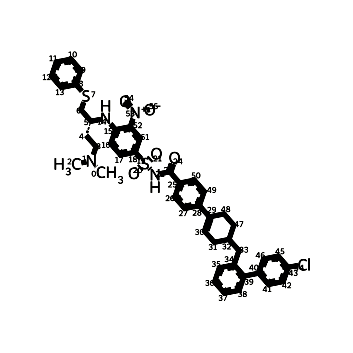 CN(C)CC[C@H](CSc1ccccc1)Nc1ccc(S(=O)(=O)NC(=O)c2ccc(C3=CCC(Cc4ccccc4-c4ccc(Cl)cc4)CC3)cc2)cc1[N+](=O)[O-]